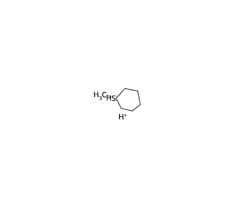 C[SiH]1CCCCC1.[H+]